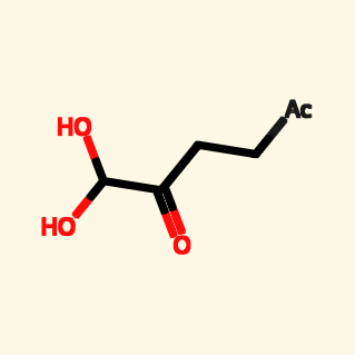 CC(=O)CCC(=O)C(O)O